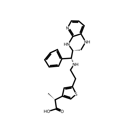 C[C@@H](C(=O)O)c1csc(CCN[C@H](c2ccccc2)[C@H]2CNc3cccnc3N2)c1